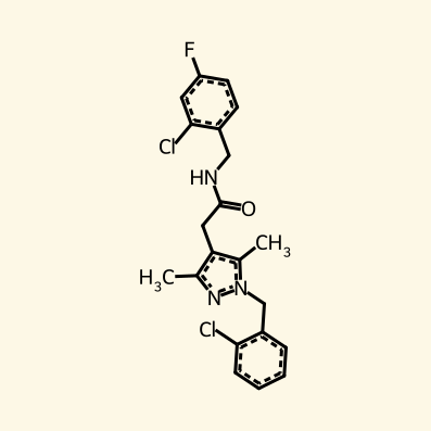 Cc1nn(Cc2ccccc2Cl)c(C)c1CC(=O)NCc1ccc(F)cc1Cl